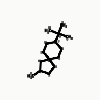 CC1CCC2(CCN(C(C)(C)C)CC2)C1